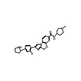 CN1CCC(NC(=O)c2ccc3c(c2)OCc2nc(-c4ccc(C5CCCN5)cc4F)cn2-3)CC1